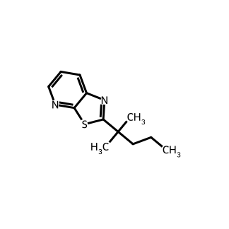 CCCC(C)(C)c1nc2cccnc2s1